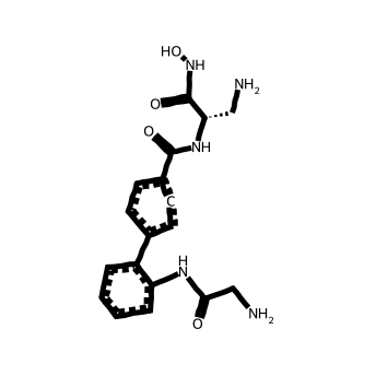 NCC(=O)Nc1ccccc1-c1ccc(C(=O)N[C@@H](CN)C(=O)NO)cc1